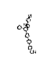 N#Cc1ccc(-c2ccc(-c3ccc(-c4cc(-c5ccccc5)c5nc(-c6ccc(Cl)cc6)oc5c4)cc3)cc2)cc1